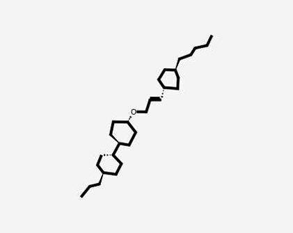 CCCCC[C@H]1CC[C@H](/C=C/CO[C@H]2CC[C@H]([C@H]3CC[C@H](CCC)CC3)CC2)CC1